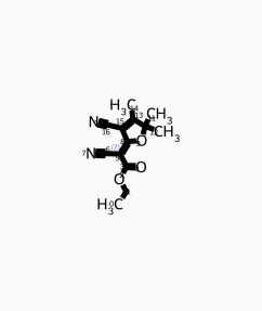 CCOC(=O)/C(C#N)=C1\OC(C)(C)C(C)=C1C#N